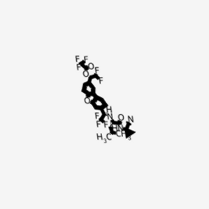 CC(C)C[C@H](N[C@@H](c1ccc2c(c1)oc1ccc(C(OC(=O)C(F)(F)F)C(F)F)cc12)C(F)(F)F)C(=O)NC1(C#N)CC1